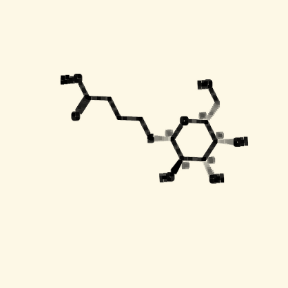 COC(=O)CCCS[C@@H]1O[C@H](CO)[C@H](O)[C@H](O)[C@H]1O